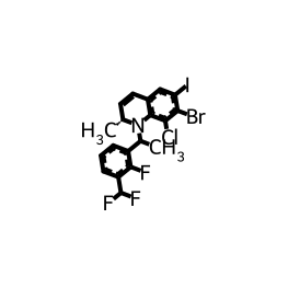 CC(c1cccc(C(F)F)c1F)N1c2c(cc(I)c(Br)c2Cl)C=C[C@H]1C